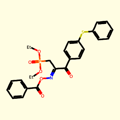 CCOP(=O)(C/C(=N\OC(=O)c1ccccc1)C(=O)c1ccc(Sc2ccccc2)cc1)OCC